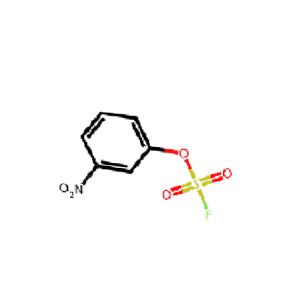 O=[N+]([O-])c1cccc(OS(=O)(=O)F)c1